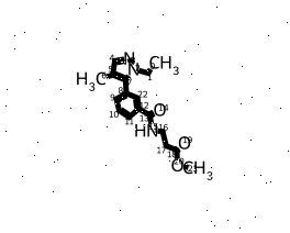 CCn1ncc(C)c1-c1cccc(C(=O)NCCC(=O)OC)c1